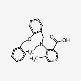 CCN(Cc1ccccc1OCc1ccccc1)c1c(C)cccc1C(=O)O